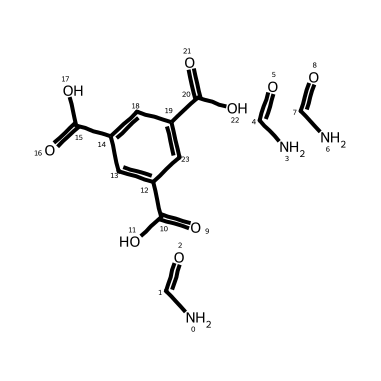 NC=O.NC=O.NC=O.O=C(O)c1cc(C(=O)O)cc(C(=O)O)c1